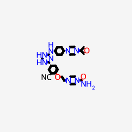 N#C[C@@H]1C[C@H](C2=N[C@@H](N[C@H]3CC[C@@H](N4CCN(C5COC5)CC4)CC3)NCN2)CC=C1OCCN1CCN(C(N)=O)CC1